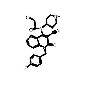 N#Cc1c(N(C(=O)CCl)C2CCNCC2)c2ccccc2n(Cc2ccc(F)cc2)c1=O